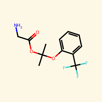 CC(C)(OC(=O)CN)Oc1ccccc1C(F)(F)F